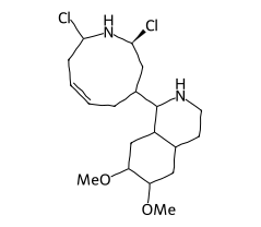 COC1CC2CCNC(C3C/C=C\CC(Cl)N[C@@H](Cl)C3)C2CC1OC